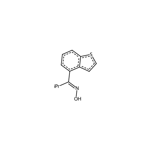 CC(C)C(=NO)c1cccc2sccc12